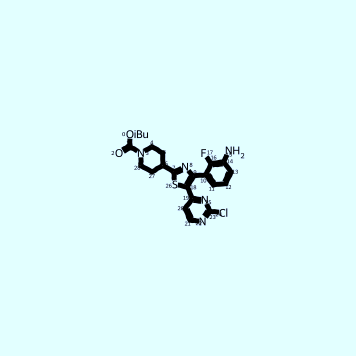 CC(C)COC(=O)N1CCC(c2nc(-c3cccc(N)c3F)c(-c3ccnc(Cl)n3)s2)CC1